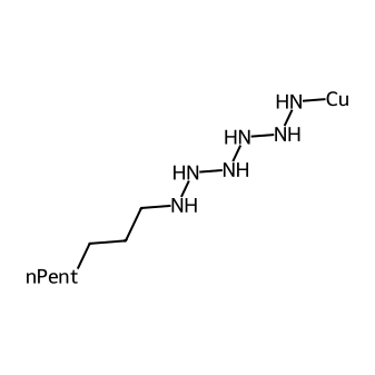 CCCCCCCCNNNNN[NH][Cu]